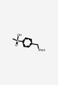 CCCC(C)Cc1ccc(P(C)(=O)O)cc1